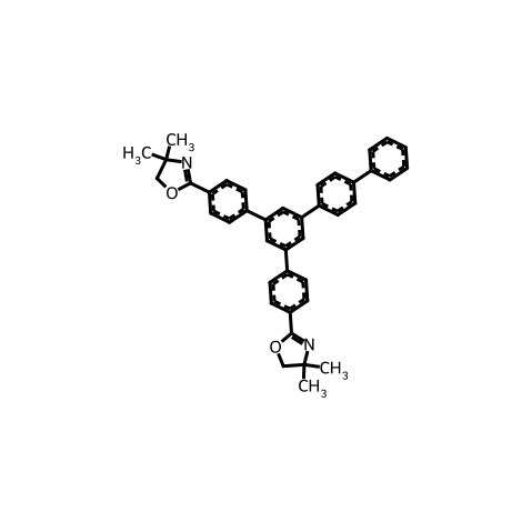 CC1(C)COC(c2ccc(-c3cc(-c4ccc(C5=NC(C)(C)CO5)cc4)cc(-c4ccc(-c5ccccc5)cc4)c3)cc2)=N1